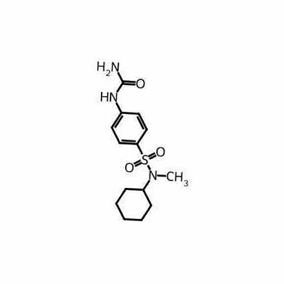 CN(C1CCCCC1)S(=O)(=O)c1ccc(NC(N)=O)cc1